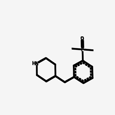 CP(C)(=O)c1cccc(CC2CCNCC2)c1